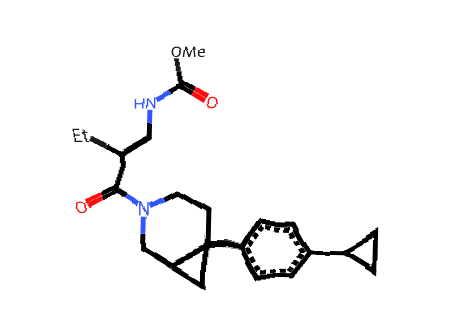 CCC(CNC(=O)OC)C(=O)N1CCC2(c3ccc(C4CC4)cc3)CC2C1